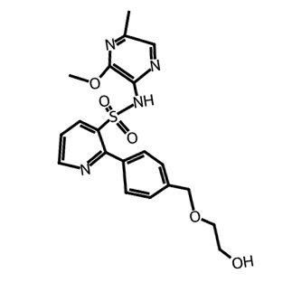 COc1nc(C)cnc1NS(=O)(=O)c1cccnc1-c1ccc(COCCO)cc1